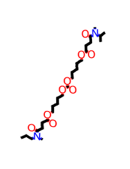 CCCN(C)C(=O)CCC(=O)OCCCCCOC(=O)OCCCCCOC(=O)CCC(=O)N(C)C(C)C